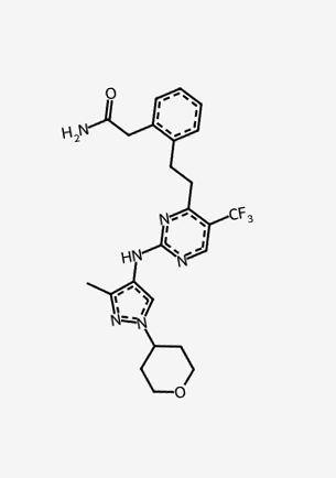 Cc1nn(C2CCOCC2)cc1Nc1ncc(C(F)(F)F)c(CCc2ccccc2CC(N)=O)n1